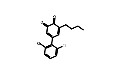 CCCCC1=CC(c2c(Cl)cccc2Cl)=CC(=O)C1=O